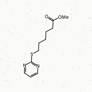 COC(=O)CCCCCSc1ncccn1